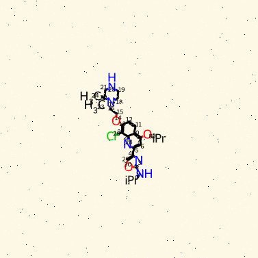 CC(C)Nc1nc(-c2cc(OC(C)C)c3ccc(OCCN4CCNCC4(C)C)c(Cl)c3n2)co1